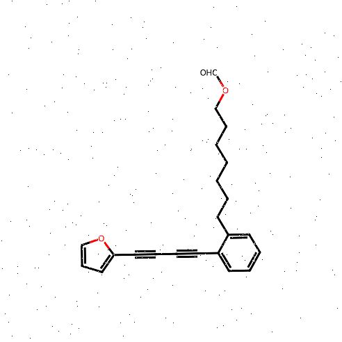 O=COCCCCCCCc1ccccc1C#CC#Cc1ccco1